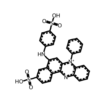 O=S(=O)(O)c1ccc(Nc2cc3c(nc4ccccc4[n+]3-c3ccccc3)c3ccc(S(=O)(=O)O)cc23)cc1